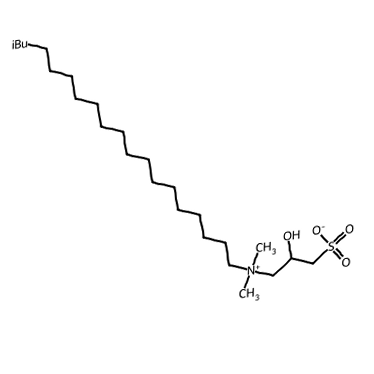 CCC(C)CCCCCCCCCCCCCCCC[N+](C)(C)CC(O)CS(=O)(=O)[O-]